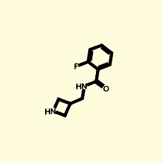 O=C(NCC1CNC1)c1ccccc1F